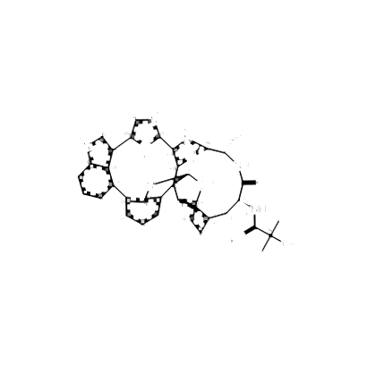 CC(C)[C@@H]1NC(=O)[C@@H](NC(=O)C(C)(C)O)Cc2ccc3c(c2)C24c5cccc(c5NC2O3)-c2cccc3[nH]cc(c23)-c2cnc(o2)-c2nc1oc24